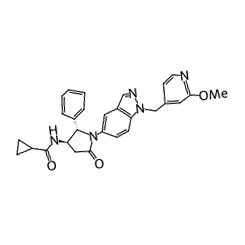 COc1cc(Cn2ncc3cc(N4C(=O)C[C@@H](NC(=O)C5CC5)[C@@H]4c4ccccc4)ccc32)ccn1